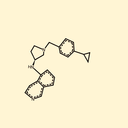 c1cc(N[C@H]2CCN(Cc3ccc(C4CC4)cc3)C2)c2ccncc2c1